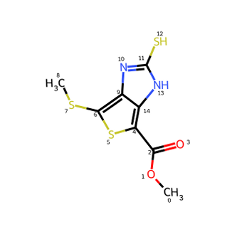 COC(=O)c1sc(SC)c2nc(S)[nH]c12